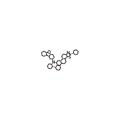 c1ccc(-c2nc3ccc4c5cc(N(c6ccc7oc8ccccc8c7c6)c6ccccc6-c6ccccc6)ccc5ccc4c3s2)cc1